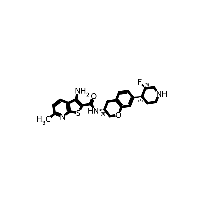 Cc1ccc2c(N)c(C(=O)N[C@H]3COc4cc([C@@H]5CCNC[C@@H]5F)ccc4C3)sc2n1